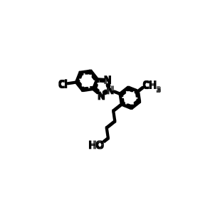 Cc1ccc(CCCCO)c(-n2nc3ccc(Cl)cc3n2)c1